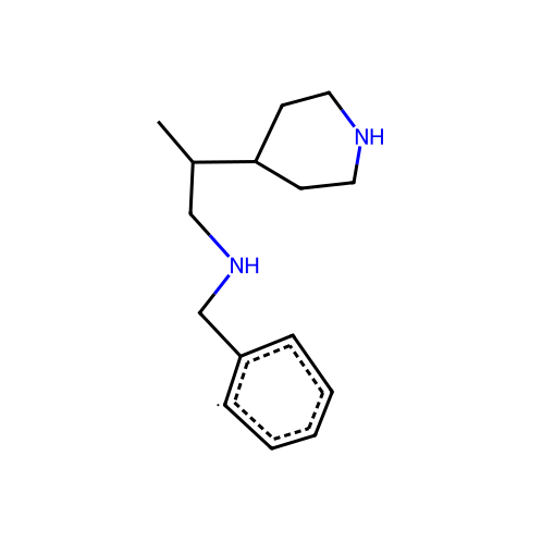 CC(CNCc1[c]cccc1)C1CCNCC1